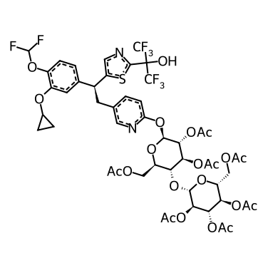 CC(=O)OC[C@H]1O[C@@H](O[C@H]2[C@H](OC(C)=O)[C@@H](OC(C)=O)[C@H](Oc3ccc(C[C@@H](c4ccc(OC(F)F)c(OC5CC5)c4)c4cnc(C(O)(C(F)(F)F)C(F)(F)F)s4)cn3)O[C@@H]2COC(C)=O)[C@H](OC(C)=O)[C@@H](OC(C)=O)[C@@H]1OC(C)=O